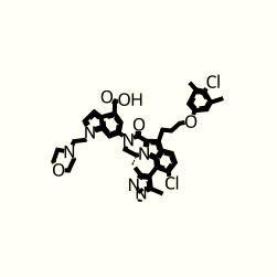 Cc1cc(OCCCc2c3n(c4c(-c5c(C)nn(C)c5C)c(Cl)ccc24)[C@H](C)CN(c2cc(C(=O)O)c4ccn(CCN5CCOCC5)c4c2)C3=O)cc(C)c1Cl